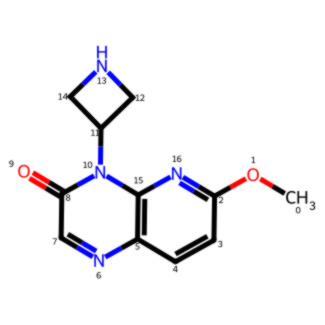 COc1ccc2ncc(=O)n(C3CNC3)c2n1